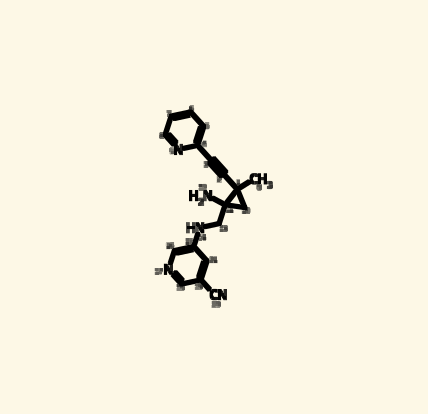 CC1(C#Cc2ccccn2)CC1(N)CNc1cncc(C#N)c1